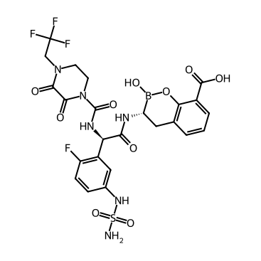 NS(=O)(=O)Nc1ccc(F)c([C@@H](NC(=O)N2CCN(CC(F)(F)F)C(=O)C2=O)C(=O)N[C@H]2Cc3cccc(C(=O)O)c3OB2O)c1